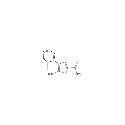 COC(=O)c1cc(-c2ccccc2F)c(C=O)o1